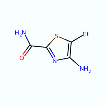 CCc1sc(C(N)=O)nc1N